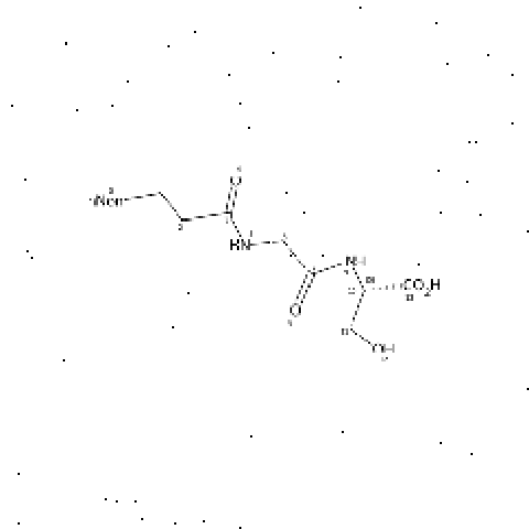 CCCCCCCCCCCC(=O)NCC(=O)N[C@@H](CO)C(=O)O